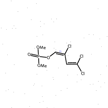 COP(=O)(OC)O/C=C(/Cl)C=C(Cl)Cl